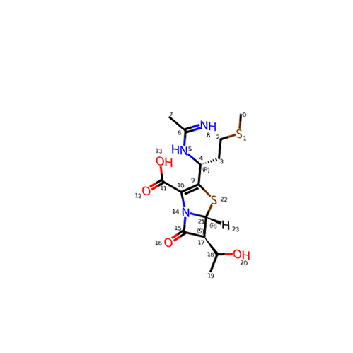 CSCC[C@@H](NC(C)=N)C1=C(C(=O)O)N2C(=O)[C@H](C(C)O)[C@H]2S1